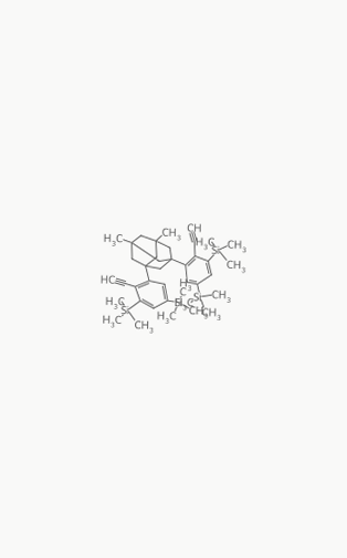 C#Cc1c(C23CC4(C)CC(C)(C2)CC(c2cc([Si](C)(C)C)cc([Si](C)(C)C)c2C#C)(C4)C3)cc([Si](C)(C)C)cc1[Si](C)(C)C